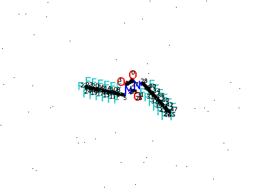 O=C1C(=O)N(CC(F)(F)C(F)(F)C(F)(F)C(F)(F)C(F)(F)C(F)(F)F)C(=O)N1CC(F)(F)C(F)(F)C(F)(F)C(F)(F)C(F)(F)C(F)(F)F